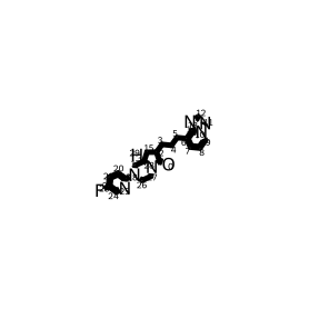 O=C1C(CCCc2cccn3ncnc23)C[C@H]2CN(c3ccc(F)cn3)CCN12